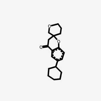 O=C1CC2(CCCOC2)Oc2ccc(C3CCCCC3)cc21